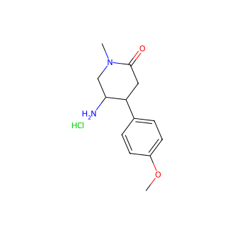 COc1ccc(C2CC(=O)N(C)CC2N)cc1.Cl